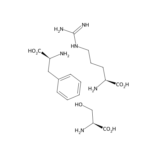 N=C(N)NCCC[C@H](N)C(=O)O.N[C@@H](CO)C(=O)O.N[C@@H](Cc1ccccc1)C(=O)O